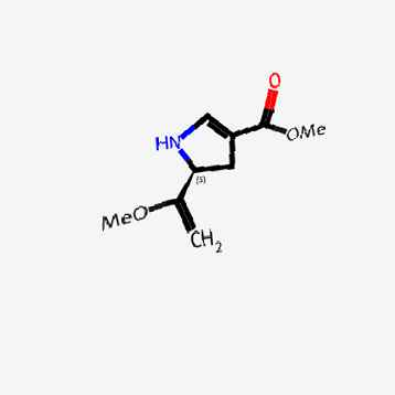 C=C(OC)[C@@H]1CC(C(=O)OC)=CN1